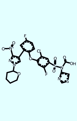 O=C(O)N(c1cscn1)S(=O)(=O)c1cc(Cl)c(Oc2ccc(F)cc2-c2cn(C3CCCCO3)nc2[N+](=O)[O-])cc1F